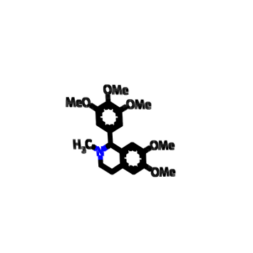 COc1cc2c(cc1OC)C(c1cc(OC)c(OC)c(OC)c1)N(C)CC2